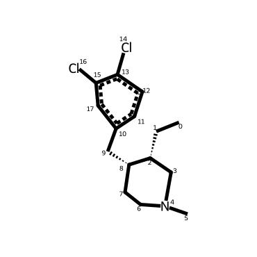 CC[C@@H]1CN(C)CC[C@@H]1Cc1ccc(Cl)c(Cl)c1